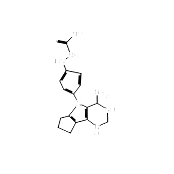 NC(=O)NNc1ccc(-n2c3c(c4c2C(N)NCN4)CCC3)cc1